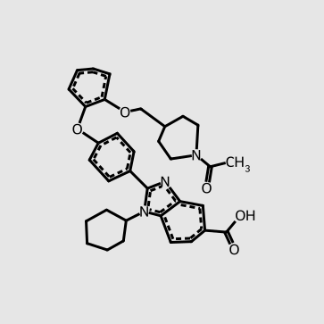 CC(=O)N1CCC(COc2ccccc2Oc2ccc(-c3nc4cc(C(=O)O)ccc4n3C3CCCCC3)cc2)CC1